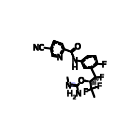 C/N=C(/N)O[C@@H]([C@H](F)c1cc(NC(=O)c2ccc(C#N)cn2)ccc1F)C(C)(F)F